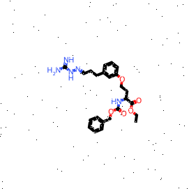 CCOC(=O)C(CCOc1cccc(CC/C=N/NC(=N)N)c1)NC(=O)OCc1ccccc1